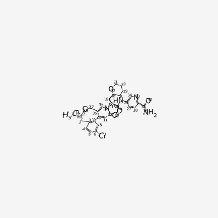 C[C@@H]1Cc2ccc(Cl)cc2-c2cc(=O)n([C@@H](C[C@@H]3CCCCO3)C(=O)Nc3ccc(C(N)=O)nc3)cc2CO1